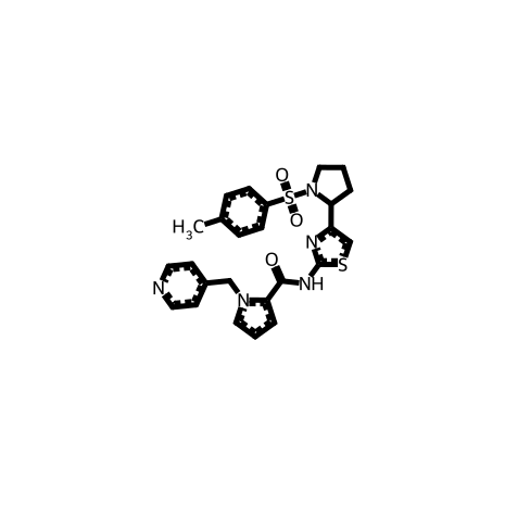 Cc1ccc(S(=O)(=O)N2CCCC2c2csc(NC(=O)c3cccn3Cc3ccncc3)n2)cc1